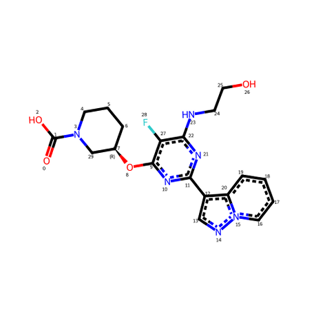 O=C(O)N1CCC[C@@H](Oc2nc(-c3cnn4ccccc34)nc(NCCO)c2F)C1